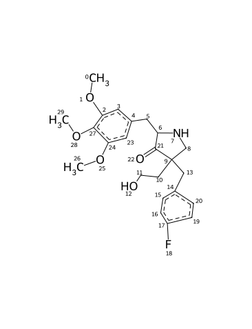 COc1cc(CC2NCC(CCO)(Cc3ccc(F)cc3)C2=O)cc(OC)c1OC